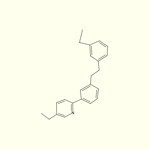 CCc1ccc(-c2cccc(CCc3cccc(CC)c3)c2)nc1